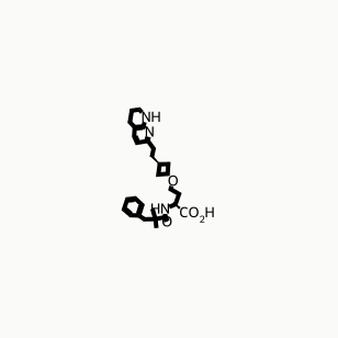 CC(C)(Cc1ccccc1)C(=O)N[C@@H](CCO[C@H]1C[C@H](CCc2ccc3c(n2)NCCC3)C1)C(=O)O